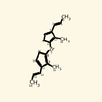 CC=CC1=CC[C]([Zr][C]2=C(C)C(C=CC)=CC2)=C1C